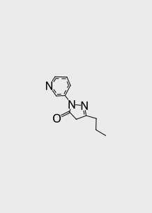 CCCC1=NN(c2cccnc2)C(=O)C1